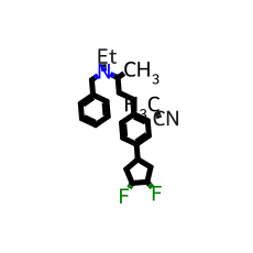 CC#N.CCN(Cc1ccccc1)C(C)CCc1ccc(C2CC(F)C(F)C2)cc1